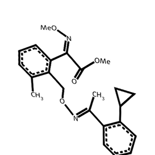 CO/N=C(/C(=O)OC)c1cccc(C)c1CO/N=C(\C)c1ccccc1C1CC1